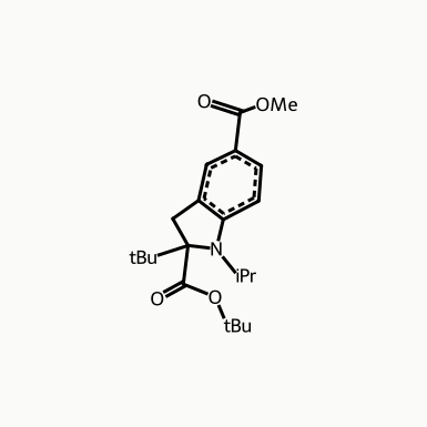 COC(=O)c1ccc2c(c1)CC(C(=O)OC(C)(C)C)(C(C)(C)C)N2C(C)C